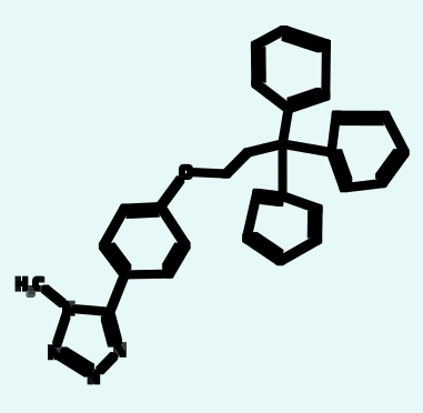 Cn1nnnc1-c1ccc(OCCC(c2ccccc2)(c2ccccc2)c2ccccc2)cc1